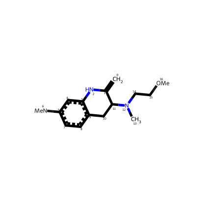 C=C1Nc2cc(NC)ccc2CC1N(C)CCOC